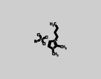 CCCC[n+]1ccn(C)c1C.[Cl][Fe-]([Cl])([Cl])[Br]